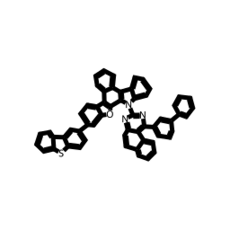 c1ccc(-c2cccc(-c3nc(-n4c5ccccc5c5c6ccccc6c6c7ccc(-c8ccc9sc%10ccccc%10c9c8)cc7oc6c54)nc4ccc5ccccc5c34)c2)cc1